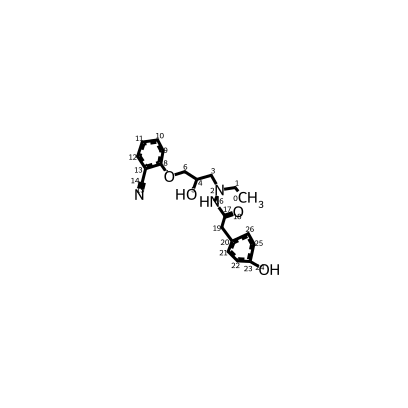 CCN(CC(O)COc1ccccc1C#N)NC(=O)Cc1ccc(O)cc1